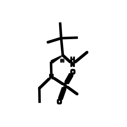 CCN(C[C@@H](NC)C(C)(C)C)S(C)(=O)=O